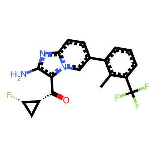 Cc1c(-c2ccc3nc(N)c(C(=O)[C@@H]4C[C@@H]4F)n3c2)cccc1C(F)(F)F